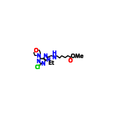 CCn1c(CNCCCCCC(=O)OC)nc2c(N3CCOCC3)nc(Cl)nc21